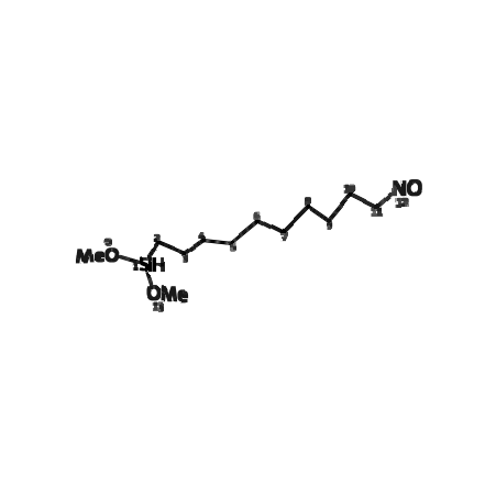 CO[SiH](CCCCCCCCCCN=O)OC